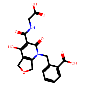 O=C(O)CNC(=O)c1c(O)c2c(n(Cc3ccccc3C(=O)O)c1=O)COC2